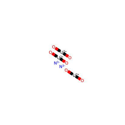 [N-3].[N-3].[O]=[U+2]=[O].[O]=[U+2]=[O].[O]=[U+2]=[O]